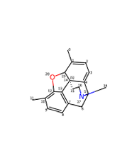 CC1=CC=C2C3Cc4ccc(C)c5c4[C@@]2(CCN3C)C1O5